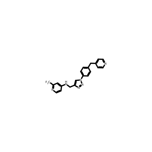 FC(F)(F)c1cc(NCc2cn(-c3ccc(Cc4ccncc4)cc3)nn2)ccn1